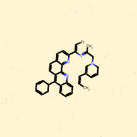 C/C=C\C1=CN(C/C(C)=N/C(=C\CC)c2ccc3ccc4c(C5C=CC=CC5)c5ccccc5nc4c3n2)CC=C1